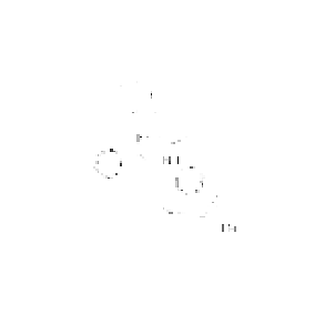 COc1cc(NC(=O)[C@H](CC2CCOCC2)NC(=O)c2ccc(F)cc2)c(Cl)cc1S(=O)(=O)NC(C)(C)C